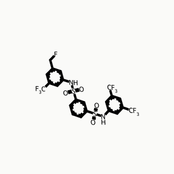 O=S(=O)(Nc1cc(CF)cc(C(F)(F)F)c1)c1cccc(S(=O)(=O)Nc2cc(C(F)(F)F)cc(C(F)(F)F)c2)c1